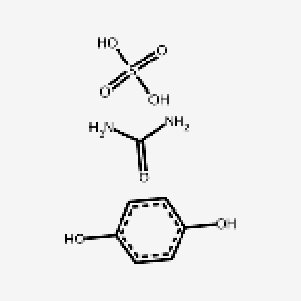 NC(N)=O.O=S(=O)(O)O.Oc1ccc(O)cc1